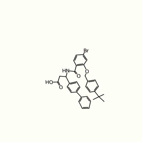 CC(C)(C)c1ccc(COc2cc(Br)ccc2C(=O)NC(CC(=O)O)c2ccc(-c3ccccc3)cc2)cc1